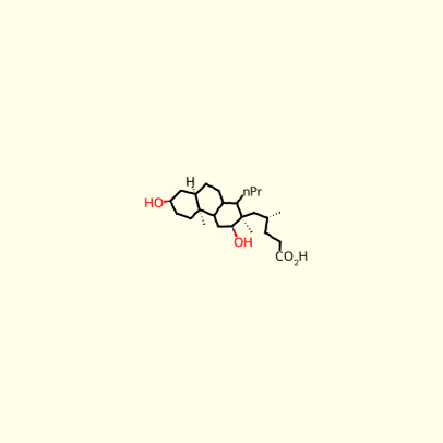 CCCC1C2CC[C@@H]3C[C@H](O)CC[C@]3(C)C2C[C@H](O)[C@]1(C)C[C@H](C)CCC(=O)O